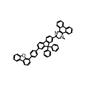 CN1CC(c2ccc3c(c2)C(c2ccccc2)(c2ccccc2)c2cc(-c4ccc(-c5cccc6c5oc5ccccc56)cc4)ccc2-3)=Nc2c1c1ccccc1c1ccccc21